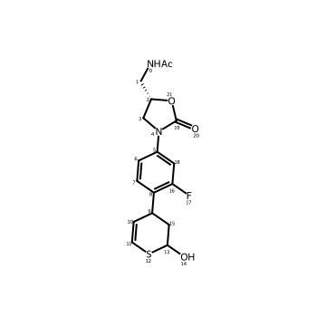 CC(=O)NC[C@H]1CN(c2ccc(C3C=CSC(O)C3)c(F)c2)C(=O)O1